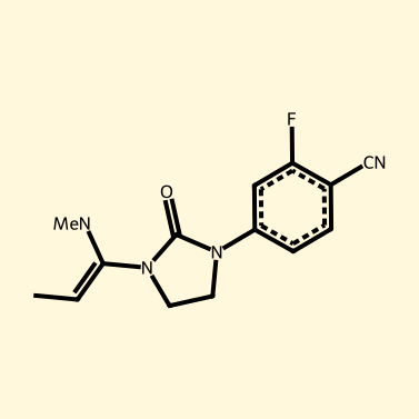 C/C=C(\NC)N1CCN(c2ccc(C#N)c(F)c2)C1=O